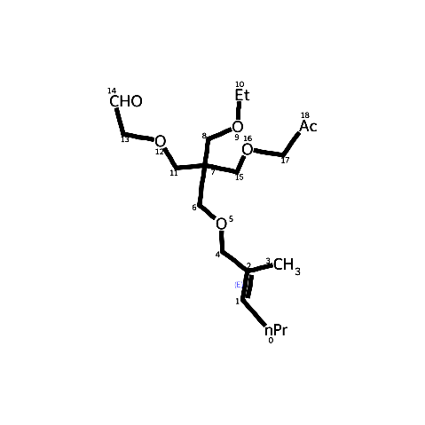 CCC/C=C(\C)COCC(COCC)(COCC=O)COCC(C)=O